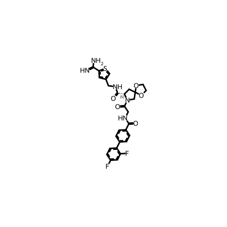 N=C(N)c1cc(CNC(=O)[C@@H]2CC3(CN2C(=O)CNC(=O)c2ccc(-c4ccc(F)cc4F)cc2)OCCO3)cs1